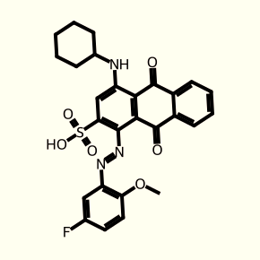 COc1ccc(F)cc1/N=N/c1c(S(=O)(=O)O)cc(NC2CCCCC2)c2c1C(=O)c1ccccc1C2=O